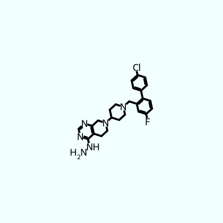 NNc1ncnc2c1CCN(C1CCN(Cc3cc(F)ccc3-c3ccc(Cl)cc3)CC1)C2